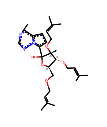 CC(C)=CCOC[C@H]1OC(O)(c2ccc3c(C)ncnn23)[C@](C)(OCC=C(C)C)[C@@H]1OCC=C(C)C